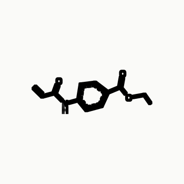 C=CC(=O)Nc1ccc(C(=O)OCC)cc1